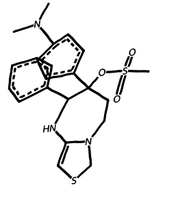 CN(C)c1ccc(C2(OS(C)(=O)=O)CCN3CSC=C3NC2c2ccccc2)cc1